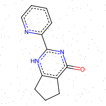 O=c1nc(-c2ccccn2)[nH]c2c1CCC2